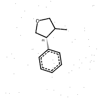 CC1COC[C@H]1c1ccccc1